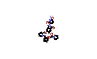 O=C1CCC(N2Cc3cc(OC[C@@H]4CCCCN4Cc4ccccc4OCC(=O)N4CCCCC4)ccc3C2=O)C(=O)N1